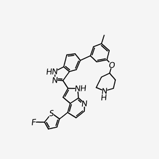 Cc1cc(OC2CCNCC2)cc(-c2ccc3[nH]nc(-c4cc5c(-c6ccc(F)s6)ccnc5[nH]4)c3c2)c1